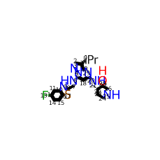 CC(C)c1cnn2c(NCc3nc4cc(F)ccc4s3)cc(NC[C@H]3CCNC[C@@H]3O)nc12